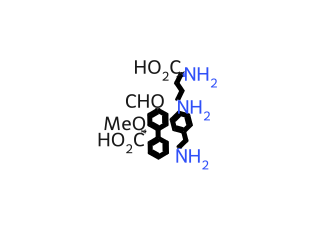 COCC(=O)O.NCCC[C@H](N)C(=O)O.NCCc1ccccc1.O=Cc1ccc(-c2ccccc2)cc1